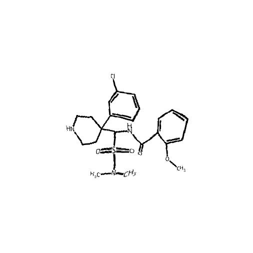 COc1ccccc1C(=O)NC(C1(c2cccc(Cl)c2)CCNCC1)S(=O)(=O)N(C)C